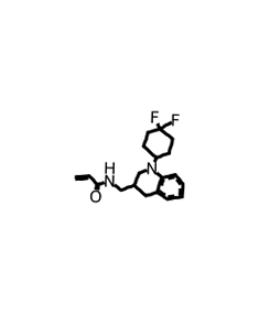 C=CC(=O)NCC1Cc2ccccc2N(C2CCC(F)(F)CC2)C1